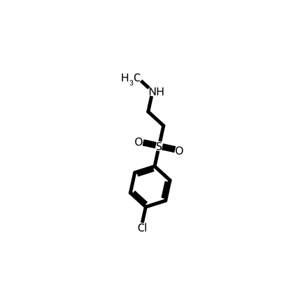 CNCCS(=O)(=O)c1ccc(Cl)cc1